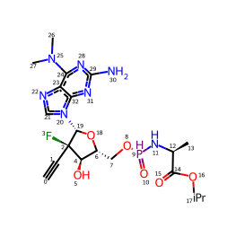 C#C[C@@]1(F)[C@H](O)[C@@H](CO[PH](=O)N[C@@H](C)C(=O)OC(C)C)O[C@H]1n1cnc2c(N(C)C)nc(N)nc21